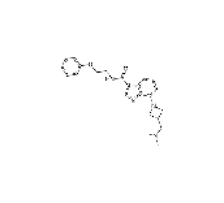 CN(C)CC1CN(c2cccc3c2ncn3C(=O)NCCOc2ccccc2)C1